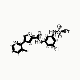 Cc1cccnc1-c1csc(C(=O)Nc2cc(Cl)cc(NS(=O)(=O)C(C)C)c2)c1